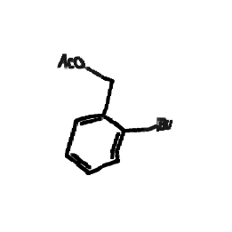 CCC(C)c1ccccc1COC(C)=O